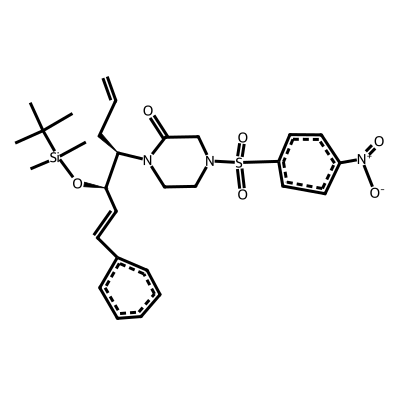 C=CC[C@H]([C@@H](C=Cc1ccccc1)O[Si](C)(C)C(C)(C)C)N1CCN(S(=O)(=O)c2ccc([N+](=O)[O-])cc2)CC1=O